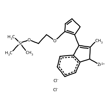 CC1=C(C2=C(OCCO[Si](C)(C)C)C=CC2)c2ccccc2[CH]1[Zr+2].[Cl-].[Cl-]